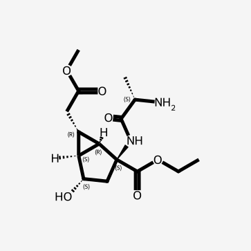 CCOC(=O)[C@]1(NC(=O)[C@H](C)N)C[C@H](O)[C@H]2[C@H](CC(=O)OC)[C@H]21